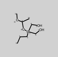 CCC[Si](CO)(CO)OC(C)OC